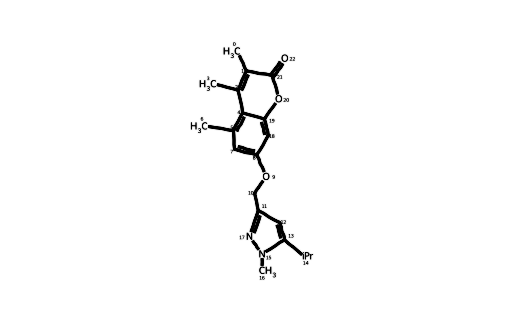 Cc1c(C)c2c(C)cc(OCc3cc(C(C)C)n(C)n3)cc2oc1=O